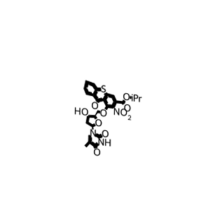 Cc1cn([C@H]2CC(O)[C@@H](COc3c([N+](=O)[O-])c(C(=O)OC(C)C)cc4sc5ccccc5c(=O)c34)O2)c(=O)[nH]c1=O